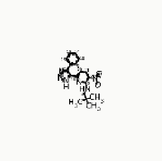 CC(C)(C)CNc1nc(-c2[nH]nnc2-c2ccccc2)ccc1[N+](=O)[O-]